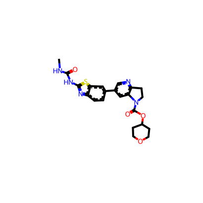 CNC(=O)Nc1nc2ccc(-c3cnc4c(c3)N(C(=O)OC3CCOCC3)CC4)cc2s1